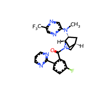 CN(c1cnc(C(F)(F)F)cn1)[C@@H]1C[C@@H]2C[C@@H]1N(C(=O)c1cc(F)ccc1-c1ncccn1)C2